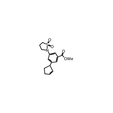 COC(=O)c1cc(C2C=CCC2)cc(N2CCCS2(=O)=O)c1